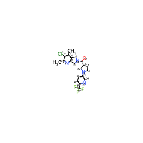 Cc1nc2c(c(C)c1Cl)CN(C(=O)[C@@H]1CCN(c3ccc(C(F)(F)F)nc3)C1)C2